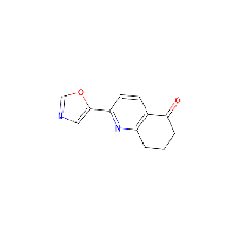 O=C1CCCc2nc(-c3cnco3)ccc21